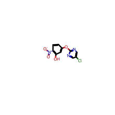 O=[N+]([O-])c1ccc(Oc2ncc(Cl)cn2)cc1O